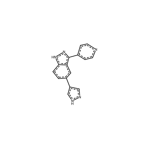 c1cc(-c2n[nH]c3ccc(-c4cn[nH]c4)cc23)ccn1